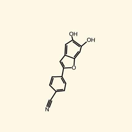 N#Cc1ccc(-c2cc3cc(O)c(O)cc3o2)cc1